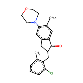 COc1cc2c(cc1N1CCOCC1)CC(Cc1c(C)cccc1Cl)C2=O